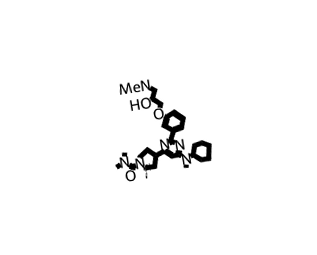 CNCC(O)COc1cccc(-c2nc(C3CCN(C(=O)N(C)C)[C@@H](C)C3)cc(N(C)C3CCCCC3)n2)c1